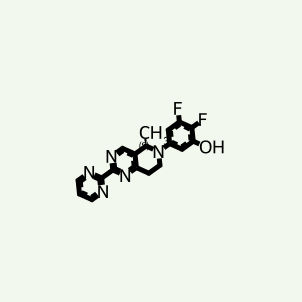 C[C@H]1c2cnc(-c3ncccn3)nc2CCN1c1cc(O)c(F)c(F)c1